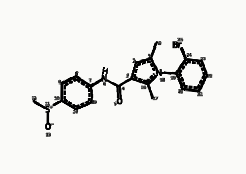 Cc1cc(C(=O)Nc2ccc([S+](C)[O-])cc2)c(C)n1-c1ccccc1Br